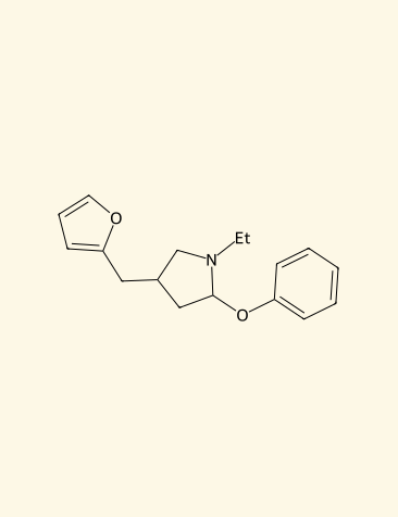 CCN1CC(Cc2ccco2)CC1Oc1ccccc1